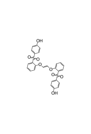 O=S(=O)(c1ccc(O)cc1)c1ccccc1OC=COc1ccccc1S(=O)(=O)c1ccc(O)cc1